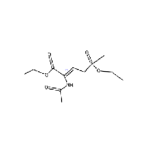 CCOC(=O)/C(=C/CP(C)(=O)OCC)NC(C)=O